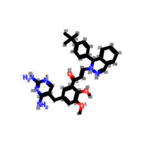 COc1cc(Cc2cnc(N)nc2N)cc(C(=O)C=CN2N=Cc3ccccc3C2c2ccc(C(C)(C)C)cc2)c1OC